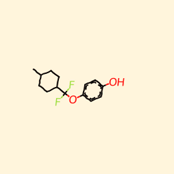 CC1CCC(C(F)(F)Oc2ccc(O)cc2)CC1